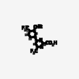 CCOc1cc(-c2cc(C(F)(F)F)nc(C(=O)O)n2)ccc1C(F)(F)F